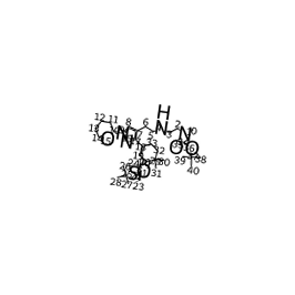 CN(CCNCCc1cn(C2CCCCO2)nc1C1=C[C@@H](O[Si](C)(C)C(C)(C)C)C(C)(C)CC1)C(=O)OC(C)(C)C